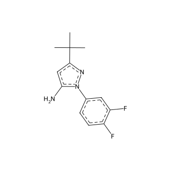 CC(C)(C)c1cc(N)n(-c2ccc(F)c(F)c2)n1